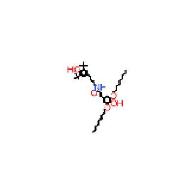 CCCCCCCCCOc1cc(C=CC(=O)NCCCCc2cc(C(C)(C)C)c(O)c(C(C)(C)C)c2)cc(OCCCCCCCCC)c1O